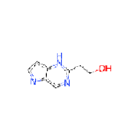 OCCc1ncc2nccc-2[nH]1